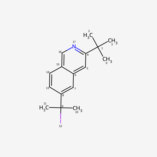 CC(C)(C)c1cc2cc(C(C)(C)I)ccc2cn1